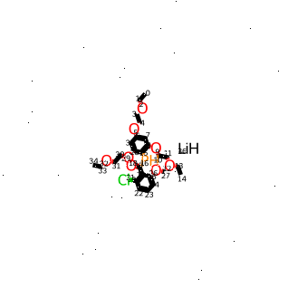 CCOCCOc1cc(OCCOCC)c(PC(=O)c2c(Cl)cccc2OC)c(OCCOCC)c1.[LiH]